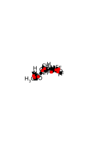 CCc1cc(Nc2nccn3c(-c4ccc(OC(F)F)c(F)c4F)cnc23)ccc1C(=O)NCCNC(=O)C1CC[N+](C)(CC2CNC2)C1